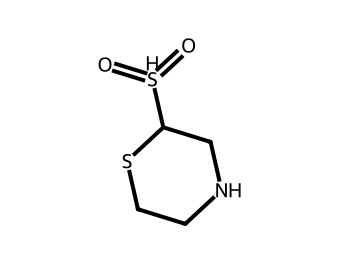 O=[SH](=O)C1CNCCS1